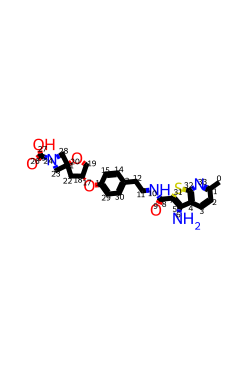 Cc1ccc2c(N)c(C(=O)NCCc3ccc(O[C@@H]4COC5(C4)CN(C(=O)O)C5)cc3)sc2n1